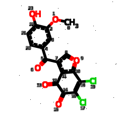 COc1cc(C(=O)c2coc3c2C(=O)C(=O)C(Cl)=C3Cl)ccc1O